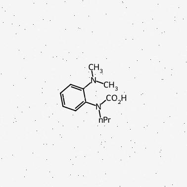 CCCN(C(=O)O)c1ccccc1N(C)C